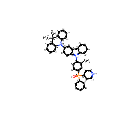 Cc1cc(P(=O)(c2ccccc2)c2ccncc2)ccc1-n1c2ccccc2c2cc(N3c4ccccc4C(C)(C)c4ccccc43)ccc21